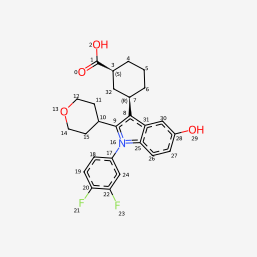 O=C(O)[C@H]1CCC[C@@H](c2c(C3CCOCC3)n(-c3ccc(F)c(F)c3)c3ccc(O)cc23)C1